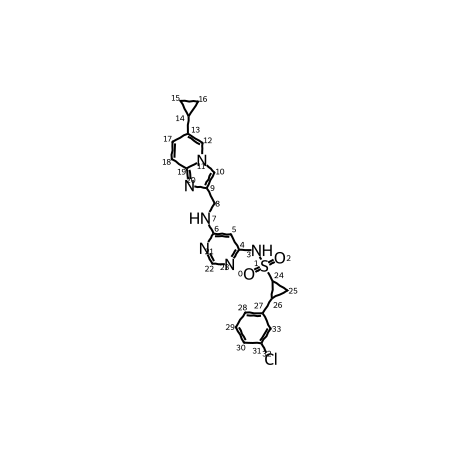 O=S(=O)(Nc1cc(NCc2cn3cc(C4CC4)ccc3n2)ncn1)C1CC1c1cccc(Cl)c1